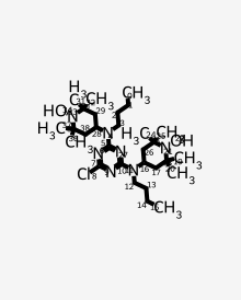 CCCCN(c1nc(Cl)nc(N(CCCC)C2CC(C)(C)N(O)C(C)(C)C2)n1)C1CC(C)(C)N(O)C(C)(C)C1